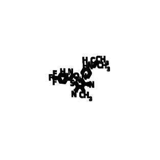 CCc1c(C#N)c(SC(C(N)=O)c2ccc(C(F)(F)F)cc2)nc(N2CCC(NCC(C)(C)C)CC2)c1C#N